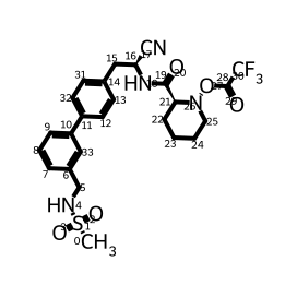 CS(=O)(=O)NCc1cccc(-c2ccc(C[C@@H](C#N)NC(=O)[C@@H]3CCCCN3OC(=O)C(F)(F)F)cc2)c1